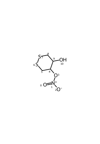 O=[N+]([O-])OC1CSSCC1O